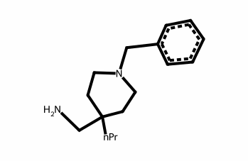 CCCC1(CN)CCN(Cc2ccccc2)CC1